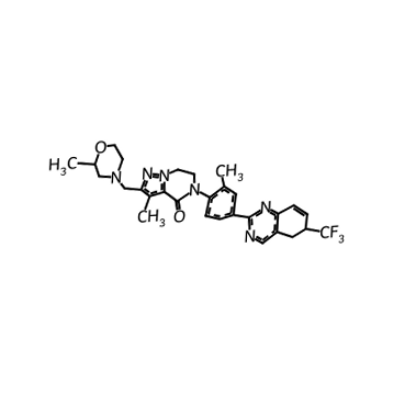 Cc1cc(-c2ncc3c(n2)C=CC(C(F)(F)F)C3)ccc1N1CCn2nc(CN3CCOC(C)C3)c(C)c2C1=O